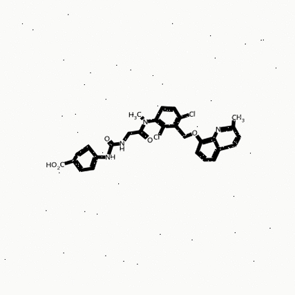 Cc1ccc2cccc(OCc3c(Cl)ccc(N(C)C(=O)CNC(=O)Nc4ccc(C(=O)O)cc4)c3Cl)c2n1